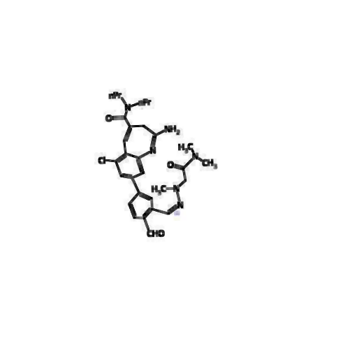 CCCN(CCC)C(=O)C1=Cc2c(Cl)cc(-c3ccc(C=O)c(/C=N\N(C)CC(=O)N(C)C)c3)cc2N=C(N)C1